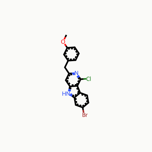 COc1cccc(Cc2cc3[nH]c4cc(Br)ccc4c3c(Cl)n2)c1